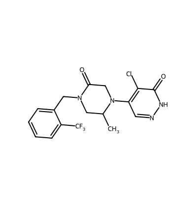 CC1CN(Cc2ccccc2C(F)(F)F)C(=O)CN1c1cn[nH]c(=O)c1Cl